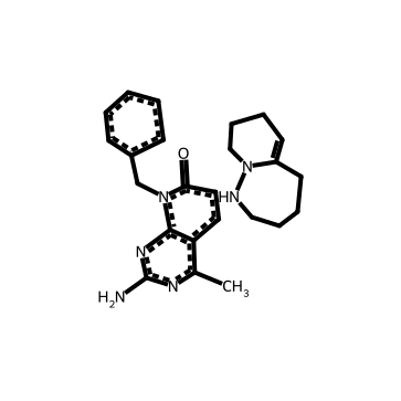 C1=C2CCCCNN2CCC1.Cc1nc(N)nc2c1ccc(=O)n2Cc1ccccc1